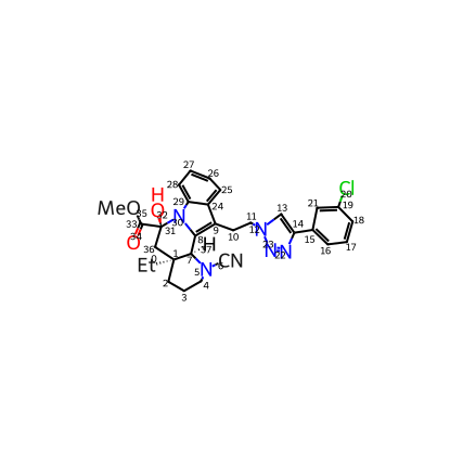 CC[C@@]12CCCN(C#N)[C@@H]1c1c(CCn3cc(-c4cccc(Cl)c4)nn3)c3ccccc3n1[C@@](O)(C(=O)OC)C2